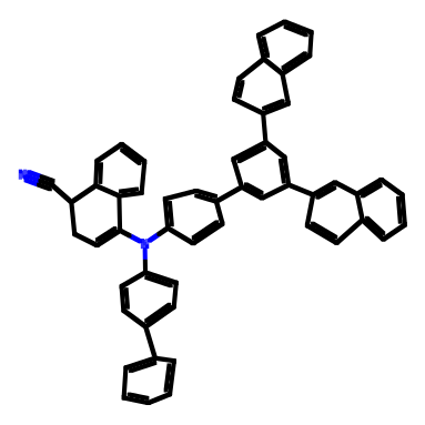 N#CC1CC=C(N(c2ccc(-c3ccccc3)cc2)c2ccc(-c3cc(-c4ccc5ccccc5c4)cc(-c4ccc5ccccc5c4)c3)cc2)c2ccccc21